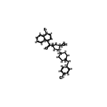 O=C(c1ccc(F)c2ccccc12)N1C[C@@H](O)[C@H](N2CCN(Cc3ccc(Cl)cc3)CC2)C1